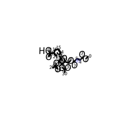 COC(=O)/C=C/C(=O)OCC1O[C@@H](N2C=CCC(C(=O)O)=C2)[C@H](OC(C)=O)[C@@H]1OC(C)=O